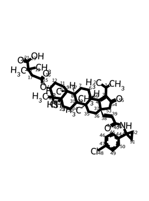 CC(C)C1=C2[C@H]3CC[C@@H]4[C@@]5(C)CC[C@H](OC(=O)CC(C)(C)C(=O)O)C(C)(C)C5(S)CC[C@@]4(C)[C@]3(C)CC[C@@]2(/C=C/C(=O)NC2(c3ccc(Cl)cc3)CC2)CC1=O